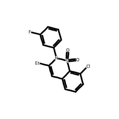 CCC1=Cc2cccc(Cl)c2S(=O)(=O)N1c1cccc(F)c1